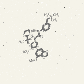 CCCCN(C(=O)CN1C[C@H](c2cc(OC)c3c(c2)OCO3)[C@@H](C(=O)O)[C@@H]1CC(C)(C)C1OCCO1)c1cccc(C[N+](C)(C)C)c1